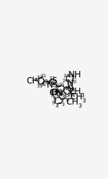 CCc1cccc(CC)c1-n1c(CC(C)C)c(C(=O)N2CCNCC2)cc(-c2nc(-c3ccc(Cl)cc3)cs2)c1=O